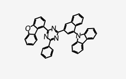 c1ccc(-c2nc(-c3cc(-n4c5ccccc5c5ccccc54)c4ccccc4c3)nc(-c3cccc4oc5ccccc5c34)n2)cc1